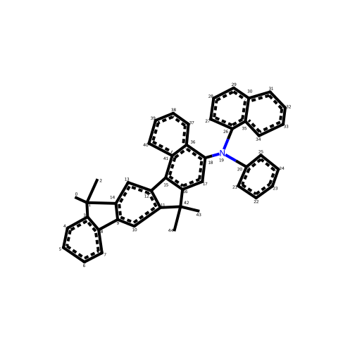 CC1(C)c2ccccc2-c2cc3c(cc21)-c1c(cc(N(c2ccccc2)c2cccc4ccccc24)c2ccccc12)C3(C)C